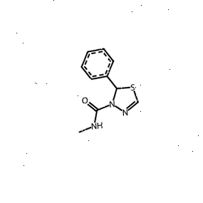 CNC(=O)N1N=CSC1c1ccccc1